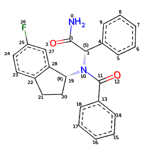 NC(=O)[C@H](c1ccccc1)N(C(=O)c1ccccc1)[C@@H]1CCc2ccc(F)cc21